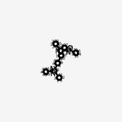 c1ccc(-c2cc(-c3ccc(-c4ccc5c(c4)nc(-c4ccccc4)c4ccc6oc(-c7ccccc7)nc6c45)cc3)nc(-c3ccccc3)n2)cc1